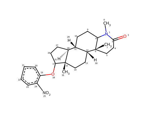 CN1C(=O)CC[C@@]2(C)C1CC[C@@H]1[C@H]2CC[C@]2(C)C(Oc3ccccc3[N+](=O)[O-])CC[C@@H]12